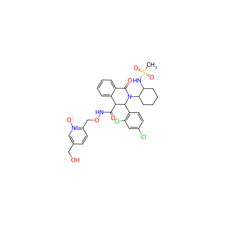 CS(=O)(=O)NC1CCCCC1N1C(=O)c2ccccc2C(C(=O)NOCc2ccc(CO)c[n+]2[O-])C1c1ccc(Cl)cc1Cl